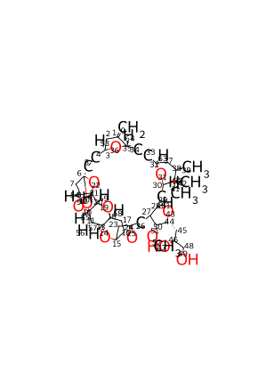 C=C1C[C@@H]2CC[C@@]34C[C@H]5O[C@H]6[C@@H](O3)[C@H]3OC(CC[C@@H]3O[C@H]6[C@H]5O4)CC(=O)CC3[C@H](C[C@H]4O[C@@H](CC[C@@H]1O2)C[C@@H](C)C4(C)C)O[C@H](C[C@H](O)CO)[C@@H]3OC